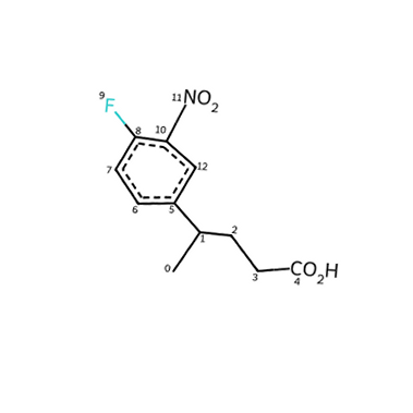 CC(CCC(=O)O)c1ccc(F)c([N+](=O)[O-])c1